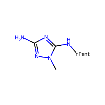 CCCCCNc1nc(N)nn1C